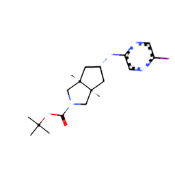 CC(C)(C)OC(=O)N1C[C@H]2C[C@H](Nc3cnc(I)cn3)C[C@H]2C1